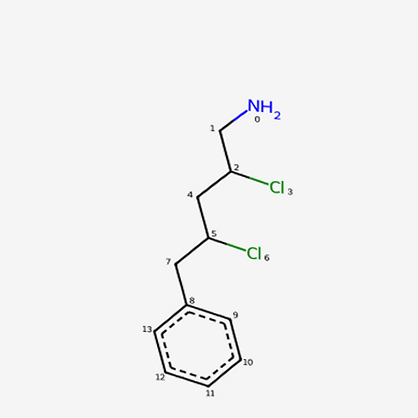 NCC(Cl)CC(Cl)Cc1ccccc1